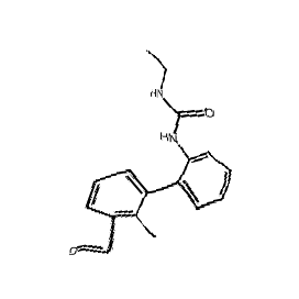 CCNC(=O)Nc1ccccc1-c1cccc(C=O)c1C